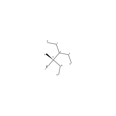 CCC(CC)[C@@](C)(F)CC